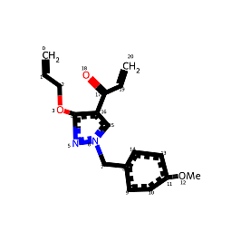 C=CCOc1nn(Cc2ccc(OC)cc2)cc1C(=O)C=C